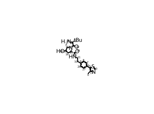 Cc1ncsc1-c1ccc(CCNC(=O)[C@@H]2C[C@H](O)CN2C(=O)[C@@H](N)C(C)(C)C)cc1